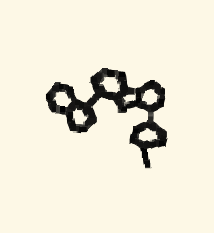 Cc1ccc(-c2cccc3c2sc2c(-c4cccc5ccccc45)cccc23)cc1